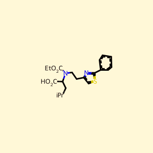 CCOC(=O)N(CCc1csc(-c2ccccc2)n1)C(CC(C)C)C(=O)O